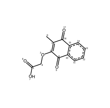 CC1=C(OCC(=O)O)C(=O)c2ccccc2C1=O